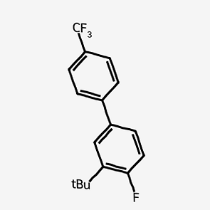 CC(C)(C)c1cc(-c2ccc(C(F)(F)F)cc2)ccc1F